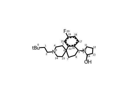 CC(C)(C)CCN1CCC2(CC[C@H](N3CCCC3O)c3ccc(F)cc32)CC1